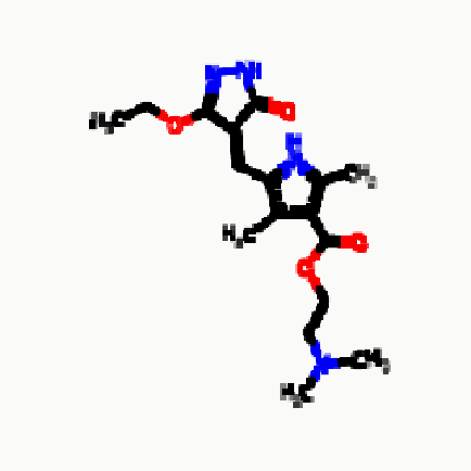 CCOC1=NNC(=O)C1=Cc1[nH]c(C)c(C(=O)OCCN(C)C)c1C